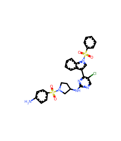 Nc1ccc(S(=O)(=O)N2CCC(Nc3ncc(Cl)c(-c4cn(S(=O)(=O)c5ccccc5)c5ccccc45)n3)C2)cc1